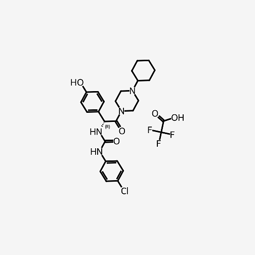 O=C(Nc1ccc(Cl)cc1)N[C@@H](C(=O)N1CCN(C2CCCCC2)CC1)c1ccc(O)cc1.O=C(O)C(F)(F)F